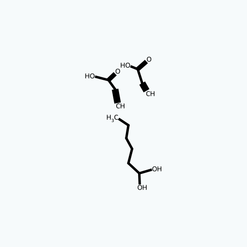 C#CC(=O)O.C#CC(=O)O.CCCCCC(O)O